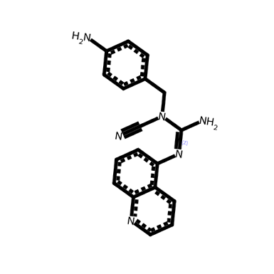 N#CN(Cc1ccc(N)cc1)/C(N)=N\c1cccc2ncccc12